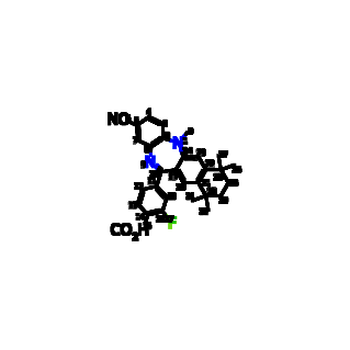 CN1c2ccc(C#N)cc2N=C(c2ccc(C(=O)O)c(F)c2)c2cc3c(cc21)C(C)(C)CCC3(C)C